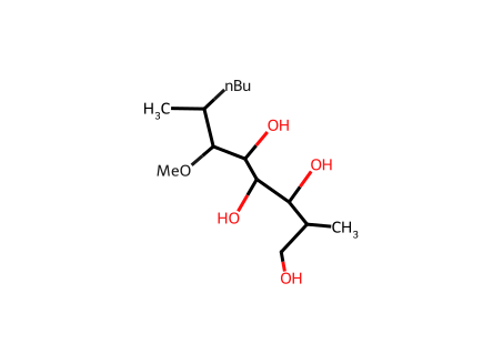 CCCCC(C)C(OC)C(O)C(O)C(O)C(C)CO